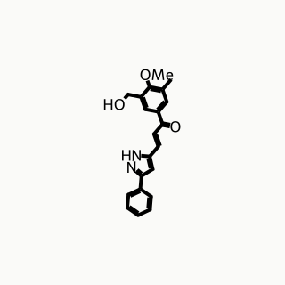 COc1c(C)cc(C(=O)/C=C/c2cc(-c3ccccc3)n[nH]2)cc1CO